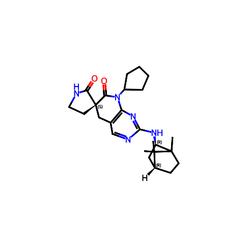 CC1(C)[C@@H]2CCC1(C)[C@H](Nc1ncc3c(n1)N(C1CCCC1)C(=O)[C@]1(CCNC1=O)C3)C2